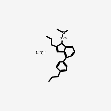 CCCC1=Cc2c(-c3ccc(CCC)cc3)cccc2[CH]1[Zr+2][Si](C)C.[Cl-].[Cl-]